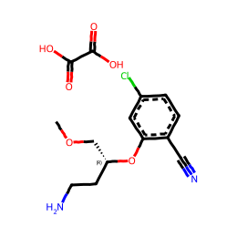 COC[C@@H](CCN)Oc1cc(Cl)ccc1C#N.O=C(O)C(=O)O